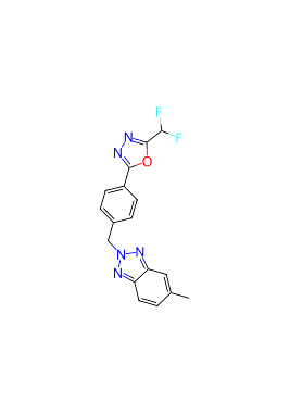 Cc1ccc2nn(Cc3ccc(-c4nnc(C(F)F)o4)cc3)nc2c1